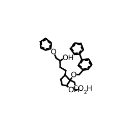 O=C(O)CC1(OCc2cccc(-c3ccccc3)c2)C(O)CCC1CCC(O)COc1ccccc1